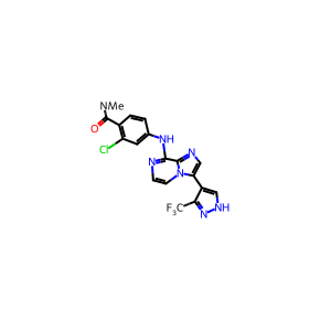 CNC(=O)c1ccc(Nc2nccn3c(-c4c[nH]nc4C(F)(F)F)cnc23)cc1Cl